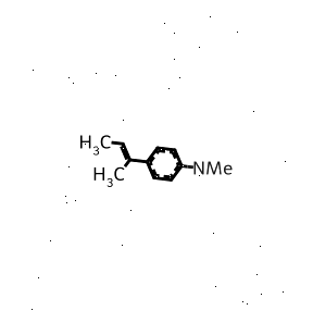 C/C=C(\C)c1ccc(NC)cc1